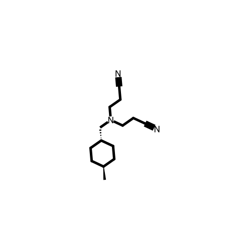 C[C@H]1CC[C@H](CN(CCC#N)CCC#N)CC1